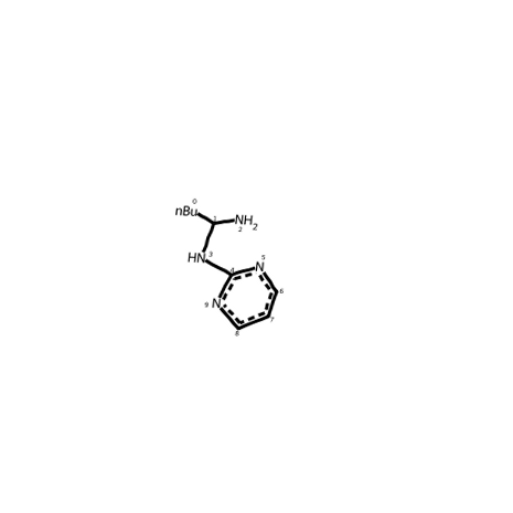 CCCCC(N)Nc1ncccn1